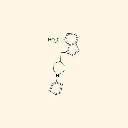 O=C(O)c1cccc2ccn(CC3CCN(c4ccccc4)CC3)c12